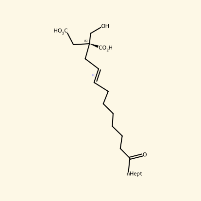 CCCCCCCC(=O)CCCCCC/C=C/C[C@@](CO)(CC(=O)O)C(=O)O